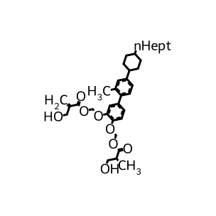 C=C(CO)C(=O)OCOc1cc(-c2ccc(C3CCC(CCCCCCC)CC3)cc2C)ccc1OCOC(=O)C(C)CO